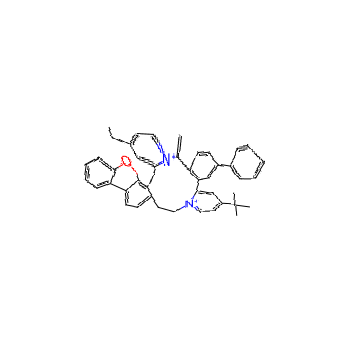 C=C1c2ccc(-c3ccccc3)cc2-c2cc(C(C)(C)C)cc[n+]2CCc2ccc3c(oc4ccccc43)c2-c2cc(CC)cc[n+]21